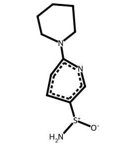 N[S+]([O-])c1ccc(N2CCCCC2)nc1